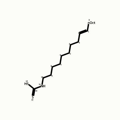 CCCCCCCCC=CCCCCCCCCNC(=S)S